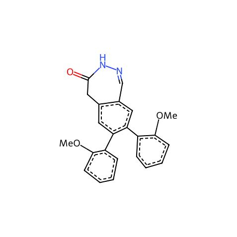 COc1ccccc1-c1cc2c(cc1-c1ccccc1OC)CC(=O)NN=C2